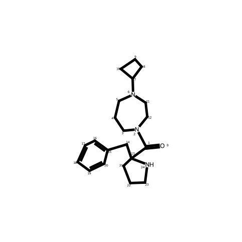 O=C(N1CCCN(C2CCC2)CC1)C1(Cc2ccccc2)CCCN1